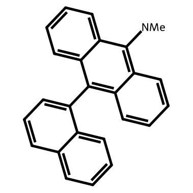 CNc1c2ccccc2c(-c2cccc3ccccc23)c2ccccc12